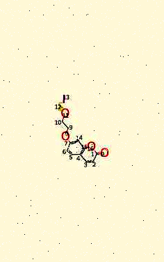 O=c1ccc2ccc(OCCOSI)cc2o1